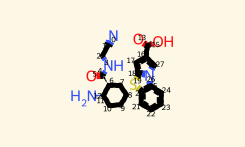 N#CCNC(=O)[C@@H]1CCCC[C@@H]1N.O=C(O)c1cc2sc3ccccc3n2c1